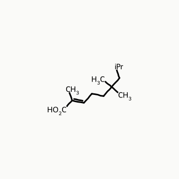 C/C(=C\CCC(C)(C)CC(C)C)C(=O)O